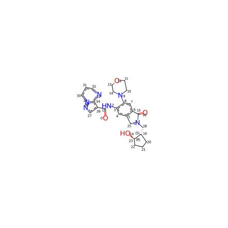 O=C(Nc1cc2c(cc1N1CCOCC1)C(=O)N(C[C@@H]1CCC[C@H]1O)C2)c1cnn2cccnc12